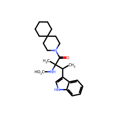 CC(c1c[nH]c2ccccc12)C(C)(NC(=O)O)C(=O)N1CCC2(CCCCC2)CC1